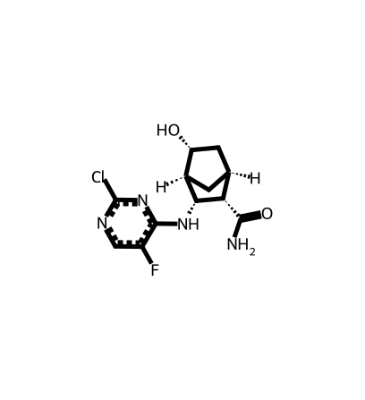 NC(=O)[C@H]1[C@H]2C[C@@H]([C@H]1Nc1nc(Cl)ncc1F)[C@H](O)C2